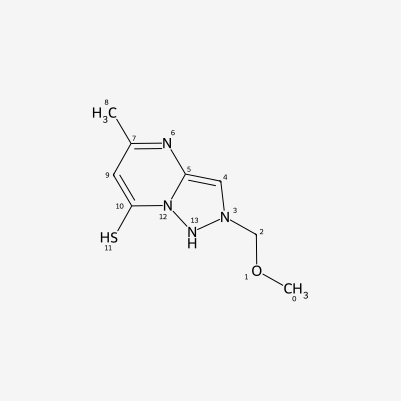 COCN1C=C2N=C(C)C=C(S)N2N1